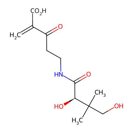 C=C(C(=O)O)C(=O)CCNC(=O)[C@H](O)C(C)(C)CO